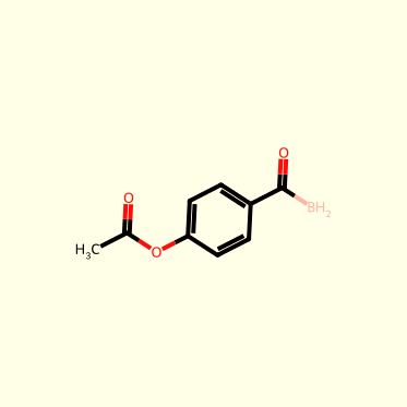 BC(=O)c1ccc(OC(C)=O)cc1